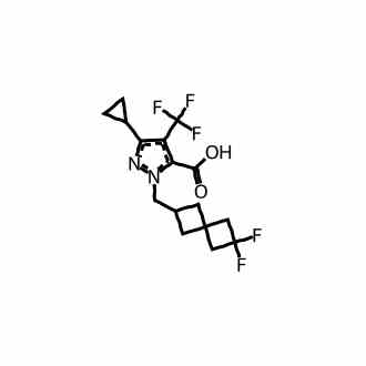 O=C(O)c1c(C(F)(F)F)c(C2CC2)nn1CC1CC2(C1)CC(F)(F)C2